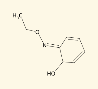 CCON=C1C=CC=CC1O